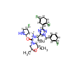 C[C@@H]1CN(C(=O)N(C[C@@H]2CNC[C@@H]2F)[C@@H](c2nc(C3=C(F)CCC(F)=C3)nn2Cc2cccc(F)c2)C(C)(C)C)C[C@H](C)O1